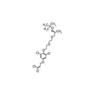 CC(COCCOCCOc1c(Cl)cc(OCC=C(Cl)Cl)cc1Cl)=NOC(C)(C)C